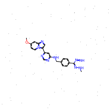 CN/N=C(\N=N)c1ccc(CNc2cc(-c3cnc4cc(OC)ccn34)ncn2)cc1